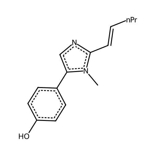 CCC/C=C/c1ncc(-c2ccc(O)cc2)n1C